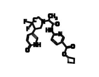 CC(C(=O)Nc1ccc(C(=O)OC2CCC2)cn1)N1CCC(F)(F)C(c2ccc(=O)[nH]c2)C1